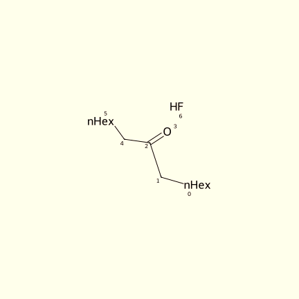 CCCCCCCC(=O)CCCCCCC.F